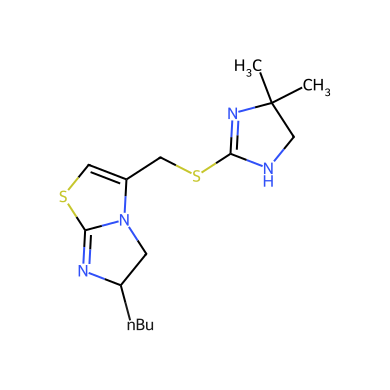 CCCCC1CN2C(CSC3=NC(C)(C)CN3)=CSC2=N1